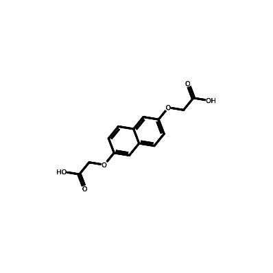 O=C(O)COc1ccc2cc(OCC(=O)O)ccc2c1